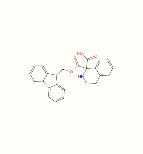 O=C(O)C1(C(=O)OCC2c3ccccc3-c3ccccc32)NCCc2ccccc21